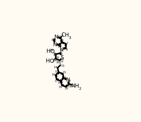 Cc1ncnc2c1ccn2[C@@H]1S[C@H](CCc2ccc3ccc(N)nc3c2)[C@@H](O)[C@H]1O